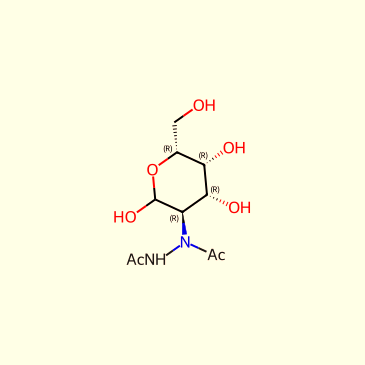 CC(=O)NN(C(C)=O)[C@H]1C(O)O[C@H](CO)[C@H](O)[C@@H]1O